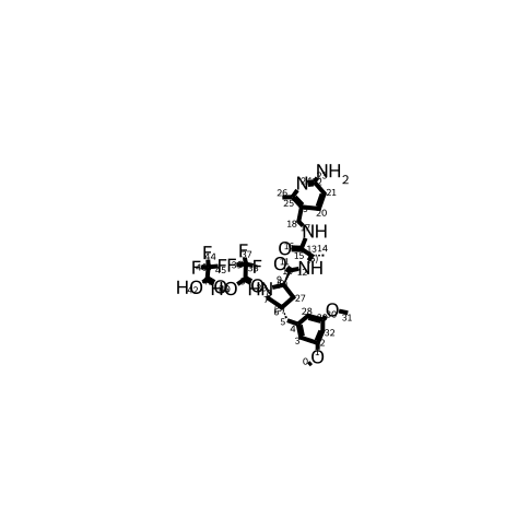 COc1cc(C[C@@H]2CN[C@@H](C(=O)N[C@@H](C)C(=O)NCc3ccc(N)nc3C)C2)cc(OC)c1.O=C(O)C(F)(F)F.O=C(O)C(F)(F)F